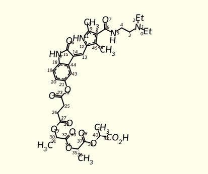 CCN(CC)CCNC(=O)c1c(C)[nH]c(/C=C2\C(=O)Nc3ccc(OC(=O)CCC(=O)O[C@@H](C)C(=O)O[C@@H](C)C(=O)O[C@@H](C)C(=O)O)cc32)c1C